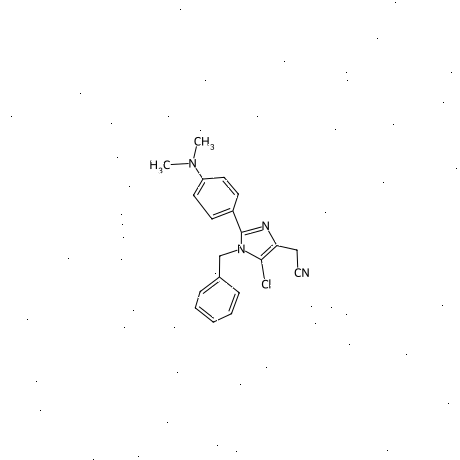 CN(C)c1ccc(-c2nc(CC#N)c(Cl)n2Cc2ccccc2)cc1